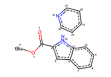 CC(C)(C)OC(=O)c1cc2ccccc2[nH]1.c1ccncc1